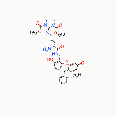 CN(C(=O)OC(C)(C)C)C(=NCCCC(N)C(=O)NCc1c(O)ccc2c(-c3ccccc3C(=O)O)c3ccc(=O)cc-3oc12)N(C)C(=O)OC(C)(C)C